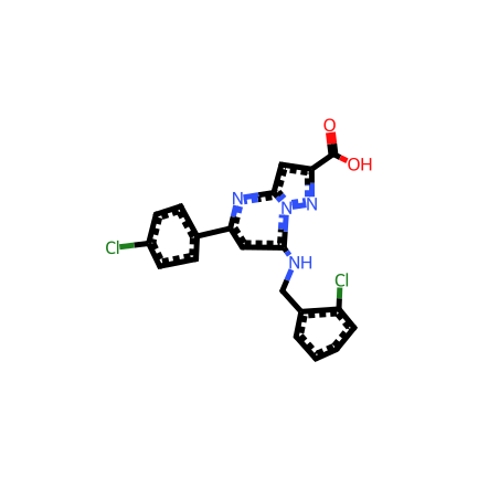 O=C(O)c1cc2nc(-c3ccc(Cl)cc3)cc(NCc3ccccc3Cl)n2n1